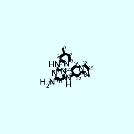 Cc1ccnc(Nc2nc(N)cc(Nc3ccn4ccnc4c3)n2)c1